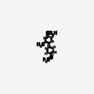 Cc1cc(C(=O)O)ccc1-c1ccc(OC(F)(F)F)cc1